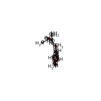 CC(C)[C@H](NC(=O)CCCCCON)C(=O)N[C@@H](CCCCNC(N)=O)C(=O)Nc1ccc(COC(=O)N(C)CCOC(=O)Nc2ncnc3c2ncn3[C@@H]2O[C@@H]3CO[P@@](=O)(S)O[C@H]4[C@@H](F)[C@H](n5cnc6c(N)ncnc65)O[C@@H]4CO[P@@](=O)(S)O[C@H]3[C@H]2F)cc1